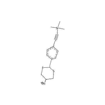 CC(C)(C)C1CSC(c2ccc(C#C[Si](C)(C)C)cc2)SC1